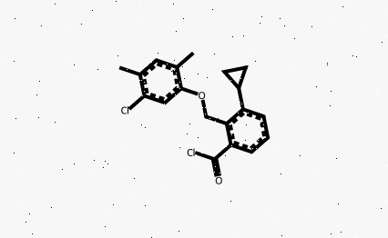 Cc1cc(C)c(OCc2c(C(=O)Cl)cccc2C2CC2)cc1Cl